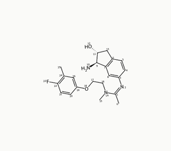 CC(=Nc1ccc2c(c1)[C@@H](N)[C@H](O)C2)N(C)CCOc1ccc(F)c(C)c1